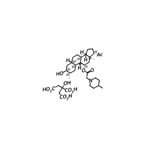 CC(=O)[C@H]1CC[C@H]2[C@@H]3CC[C@H]4C[C@H](O)[C@@H](C)C[C@]4(C)[C@H]3[C@@H](OC(=O)CN3CCC(C)CC3)C[C@]12C.O=C(O)CC(O)(CC(=O)O)C(=O)O